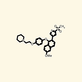 COc1ccc2c(Oc3ccc(OCCN4CCCCC4)cc3)c(-c3csc(S(C)(=O)=O)c3)ccc2c1